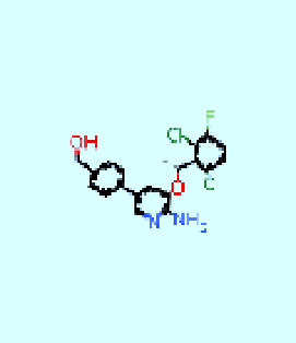 C[C@@H](Oc1cc(-c2ccc(CO)cc2)cnc1N)c1c(Cl)ccc(F)c1Cl